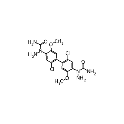 COc1cc(-c2cc(OC)c(N(N)C(N)=O)cc2Cl)c(Cl)cc1N(N)C(N)=O